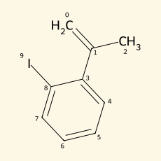 C=C(C)c1ccccc1I